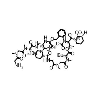 CC[C@H](C)[C@@H](C(=O)NC[C@@H](NC(=O)OCc1ccccc1)C(=O)N1CCCC[C@H]1C(=O)NCC(=O)N(C)CC(=O)N(C)[C@H](C(=O)O[C@H](C)[C@@H](NC(=O)OC(C)(C)C)C(=O)N1CCCC[C@H]1C(=O)O)[C@@H](C)CC)N(C)C(=O)CN(C)C(=O)CN